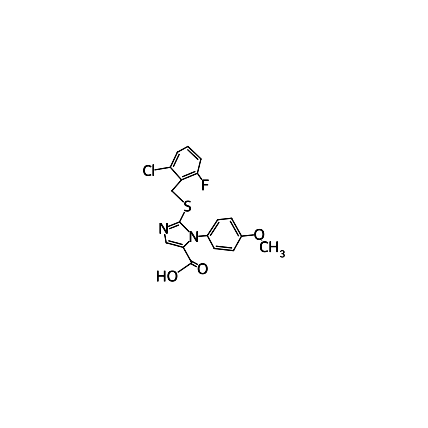 COc1ccc(-n2c(C(=O)O)cnc2SCc2c(F)cccc2Cl)cc1